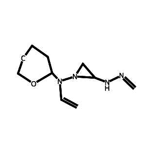 C=CN(C1CCCCO1)N1CC1NN=C